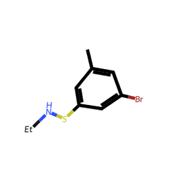 CCNSc1cc(C)cc(Br)c1